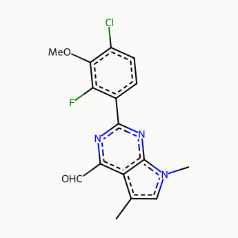 COc1c(Cl)ccc(-c2nc(C=O)c3c(C)cn(C)c3n2)c1F